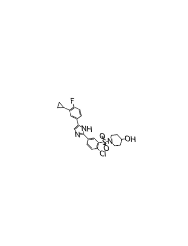 O=S(=O)(c1cc(-c2ncc(-c3ccc(F)c(C4CC4)c3)[nH]2)ccc1Cl)N1CCC(O)CC1